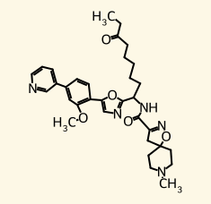 CCC(=O)CCCCCC(NC(=O)C1=NOC2(CCN(C)CC2)C1)c1ncc(-c2ccc(-c3cccnc3)cc2OC)o1